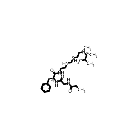 CCC(=O)NCC(=O)N[C@@H](Cc1ccccc1)C(=O)NCCNCSCCN(C)[C@H](C)C(C)C